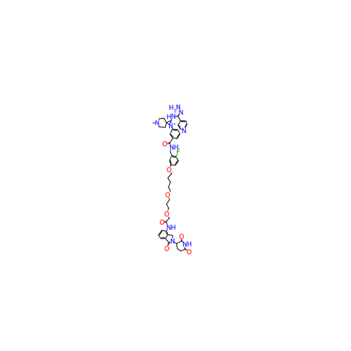 CN1CCC2(CC1)C(N/C(=N\N)c1ccncc1)=[N+]2c1cccc(C(=O)NCc2cc(OCCCCCOCCCOCC(=O)Nc3cccc4c3CN(C3CCC(=O)NC3=O)C4=O)ccc2F)c1